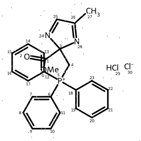 COC(=O)C1(C[P+](c2ccccc2)(c2ccccc2)c2ccccc2)N=CC(C)=N1.Cl.[Cl-]